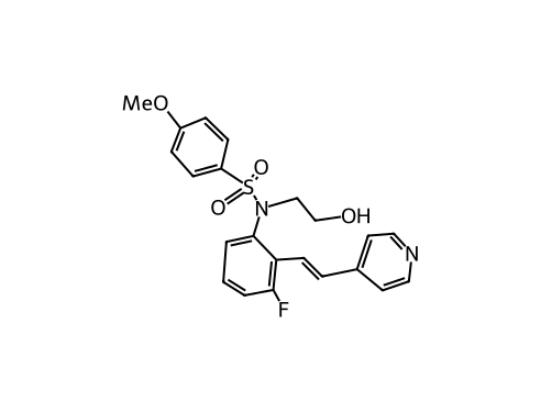 COc1ccc(S(=O)(=O)N(CCO)c2cccc(F)c2C=Cc2ccncc2)cc1